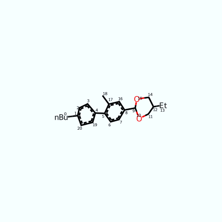 CCCCc1ccc(-c2ccc(C3OCC(CC)CO3)cc2C)cc1